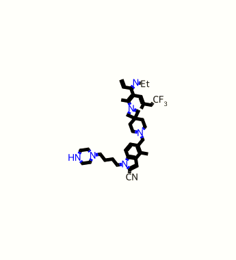 C=CC(=N/CC)/C(/C=C(\C)CC(F)(F)F)=C(\C)N1CC2(CCN(Cc3ccc4c(cc(C#N)n4CCCCN4CCNCC4)c3C)CC2)C1